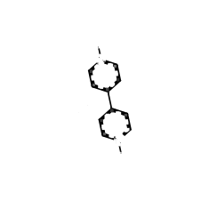 O.[O-][n+]1ccc(-c2cc[n+]([O-])cc2)cc1